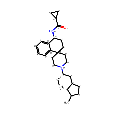 CC[C@@H](CC1CCC(C)C1)N1CCC2(CC[C@H](NC(=O)C3CC3)c3ccccc32)CC1